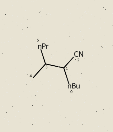 CCCCC(C#N)C(C)CCC